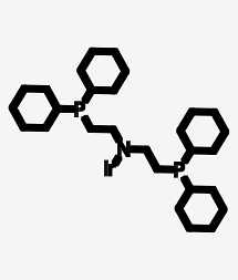 [Ir][N](CCP(C1CCCCC1)C1CCCCC1)CCP(C1CCCCC1)C1CCCCC1